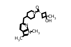 Cc1cn(C)c2nc(CC3CCN(C(=O)[C@H]4C[C@@](C)(O)C4)CC3)ccc12